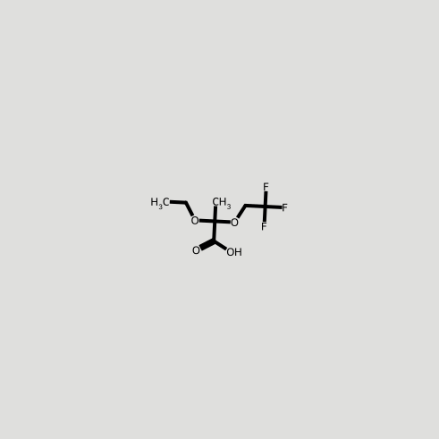 CCOC(C)(OCC(F)(F)F)C(=O)O